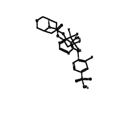 Cc1c(Nc2ccc(S(C)(=O)=O)cc2F)ncnc1OC1CC2COCC(C1)N2C(=O)OC1CC(F)(F)C1(F)F